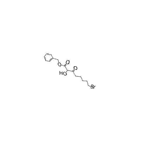 O=C(CCCCCBr)C(O)C(=O)OCc1ccccc1